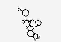 COC1CCCC(C(=O)N(CC2CCCO2)c2nc3c(s2)CCc2c-3cnn2C)C1